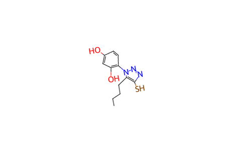 CCCCc1c(S)nnn1-c1ccc(O)cc1O